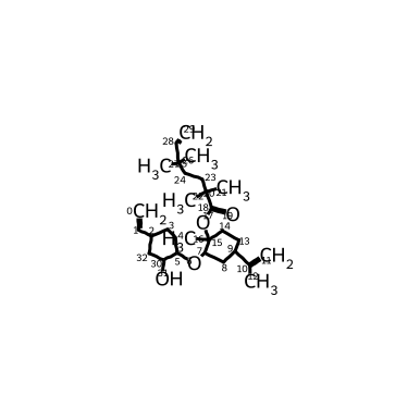 C=CC1CCC(OC2CC(C(=C)C)CCC2(C)OC(=O)C(C)(C)CCC(C)(C)C=C)C(O)C1